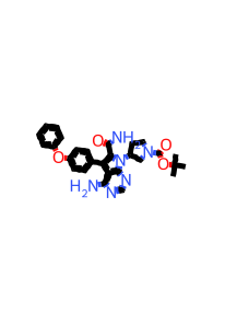 CC(C)(C)OC(=O)N1CCC(n2c(C(N)=O)c(-c3ccc(Oc4ccccc4)cc3)c3c(N)ncnc32)C1